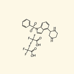 O=C(O)C(F)(F)F.O=C(O)C(F)(F)F.O=S(=O)(c1ccccc1)n1ccc2c(C3CNCCN3)cccc21